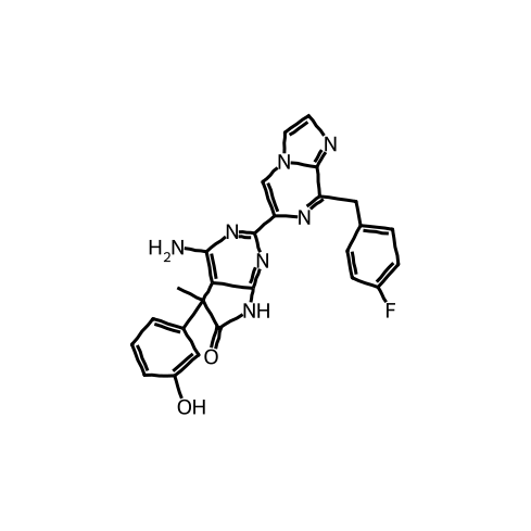 CC1(c2cccc(O)c2)C(=O)Nc2nc(-c3cn4ccnc4c(Cc4ccc(F)cc4)n3)nc(N)c21